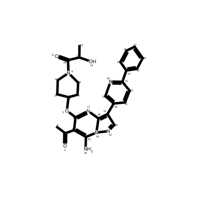 CC(=O)c1c(OC2CCN(C(=O)C(C)O)CC2)nc2c(-c3ccc(-c4ccccc4)nc3)cnn2c1N